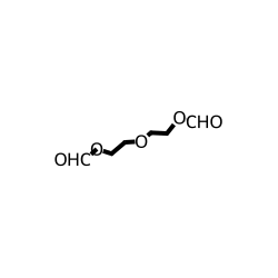 O=COCCOCCOC=O